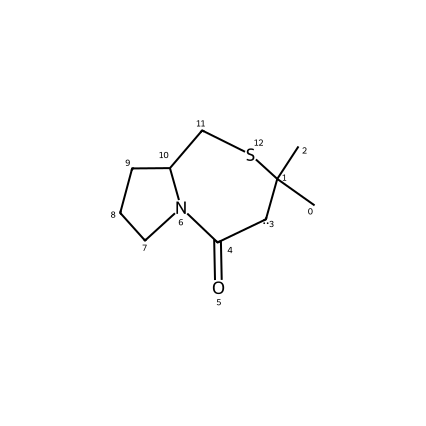 CC1(C)[C]C(=O)N2CCCC2CS1